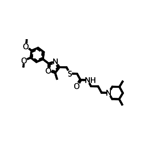 COc1ccc(-c2nc(CSCC(=O)NCCCN3CC(C)CC(C)C3)c(C)o2)cc1OC